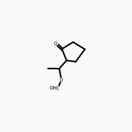 CC(OC=O)C1CCCC1=O